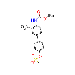 CC(C)(C)OC(=O)Nc1ccc(-c2ccc(OS(C)(=O)=O)cc2)cc1[N+](=O)[O-]